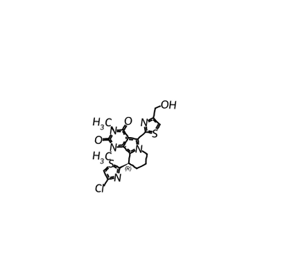 Cn1c(=O)c2c(-c3nc(CO)cs3)n3c(c2n(C)c1=O)[C@H](c1nc(Cl)cs1)CCC3